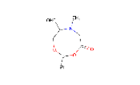 CC(C)B1OCC(C=O)N(C)CC(=O)O1